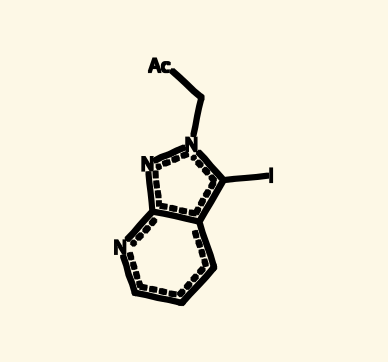 CC(=O)Cn1nc2ncccc2c1I